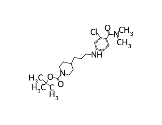 CN(C)C(=O)c1ccc(NCCCC2CCN(C(=O)OC(C)(C)C)CC2)cc1Cl